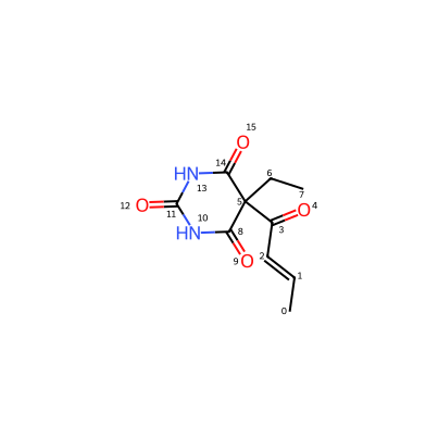 C/C=C/C(=O)C1(CC)C(=O)NC(=O)NC1=O